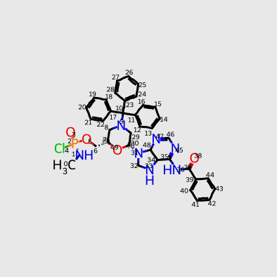 CNP(=O)(Cl)OC[C@@H]1CN(C(c2ccccc2)(c2ccccc2)c2ccccc2)C[C@H](N2CNC3C(NC(=O)c4ccccc4)=NC=NC32)O1